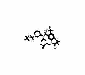 CC(C)N(C(=O)c1cc2c(cc1C(F)(F)F)OC(C)(C)C(=O)N2CCC1CO1)[C@@H]1CCCN(C(=O)OC(C)(C)C)C1